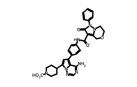 Nc1ncnn2c(C3CCN(C(=O)O)CC3)cc(-c3ccc(NC(=O)c4c5n(n(-c6ccccc6)c4=O)CCOC5)cc3)c12